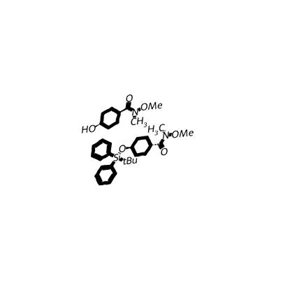 CON(C)C(=O)[C@H]1CC[C@H](O)CC1.CON(C)C(=O)[C@H]1CC[C@H](O[Si](c2ccccc2)(c2ccccc2)C(C)(C)C)CC1